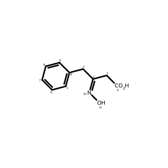 O=C(O)CC(Cc1ccccc1)=NO